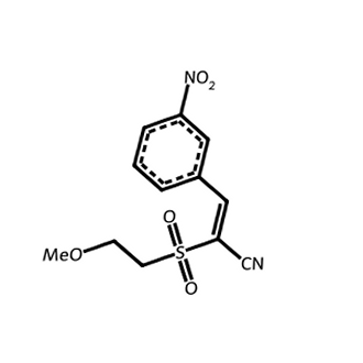 COCCS(=O)(=O)C(C#N)=Cc1cccc([N+](=O)[O-])c1